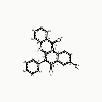 O=c1c2cc(Br)ccc2n2c(=O)c3ccccc3nc2n1-c1ccccc1